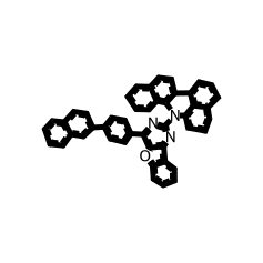 c1ccc2cc(-c3ccc(-c4nc(N5c6c(ccc7ccccc67)-c6cccc7cccc5c67)nc5c4oc4ccccc45)cc3)ccc2c1